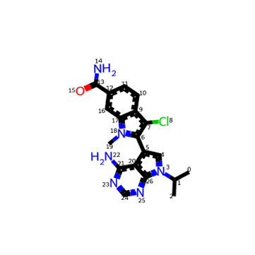 CC(C)n1cc(-c2c(Cl)c3ccc(C(N)=O)cc3n2C)c2c(N)ncnc21